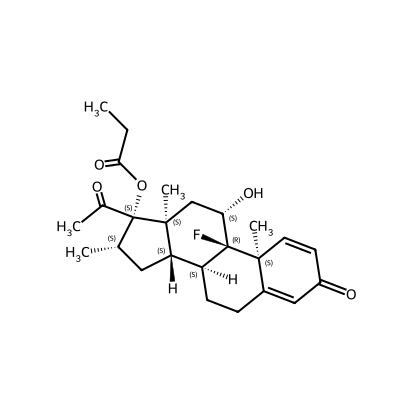 CCC(=O)O[C@@]1(C(C)=O)[C@@H](C)C[C@H]2[C@@H]3CCC4=CC(=O)C=C[C@]4(C)[C@@]3(F)[C@@H](O)C[C@@]21C